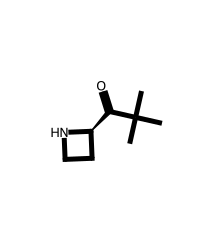 CC(C)(C)C(=O)[C@H]1CCN1